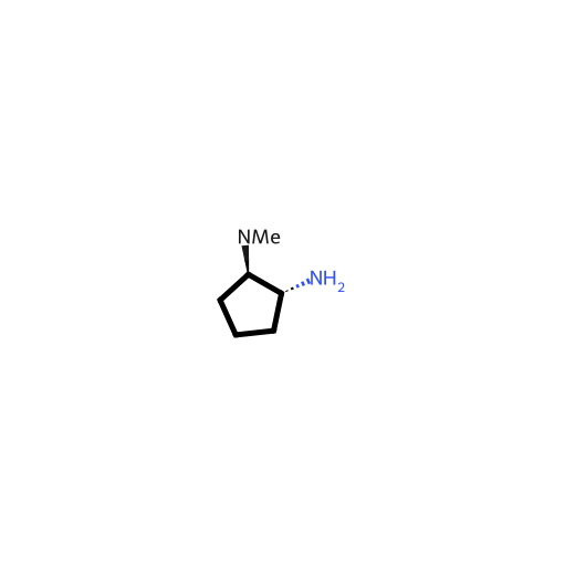 CN[C@@H]1CCC[C@H]1N